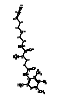 Cc1cc(C)c(NC(=O)CC[C@@H](N)C(=O)NCCOCCN=[N+]=[N-])c(C)c1Br